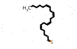 CCCCC/C=C\C/C=C\C/C=C\C/C=C\CCC[C]=S